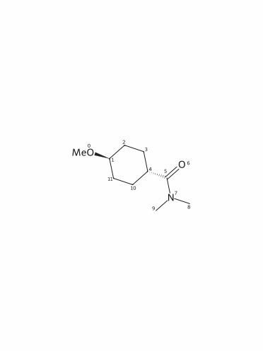 CO[C@H]1CC[C@H](C(=O)N(C)C)CC1